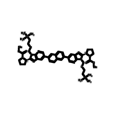 CC(C)(C)OC(=O)N1CCC[C@H]1c1nc2cc(-c3ccc4cc(-c5cnc6c(c5)nc([C@@H]5CCCN5C(=O)OC(C)(C)C)n6COCC[Si](C)(C)C)ccc4c3)cnc2n1COCC[Si](C)(C)C